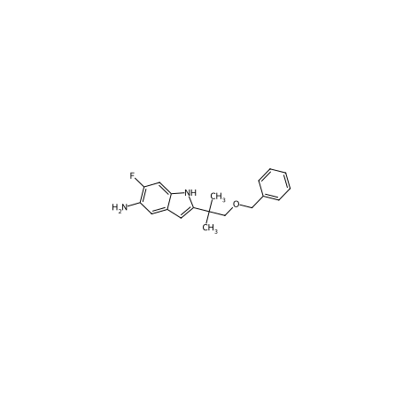 CC(C)(COCc1ccccc1)c1cc2cc(N)c(F)cc2[nH]1